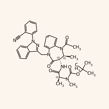 CC(=O)N1c2ccccc2N(Cc2nn(-c3ccccc3C#N)c3ccccc23)C(=O)[C@@H](NC(=O)[C@H](C)N(C)C(=O)OC(C)(C)C)[C@@H]1C